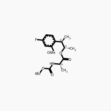 COc1cc(F)ccc1[C@@H](C)[C@H](C)OC(=O)[C@H](C)NC(=O)OC(C)(C)C